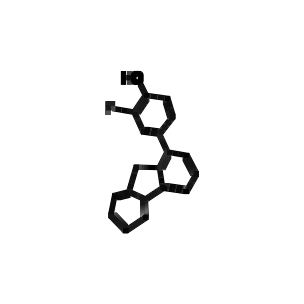 Oc1ccc(-c2cccc3c2Cc2ccccc2-3)cc1F